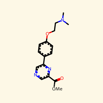 COC(=O)c1cncc(-c2ccc(OCCN(C)C)cc2)n1